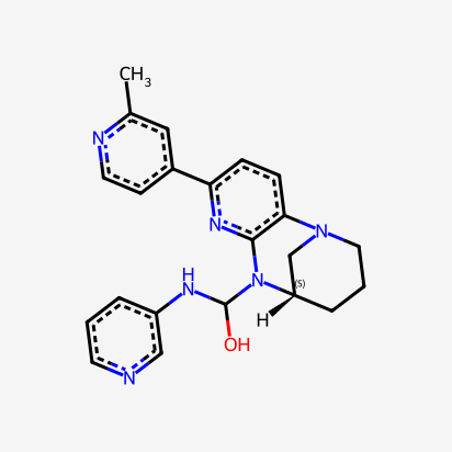 Cc1cc(-c2ccc3c(n2)N(C(O)Nc2cccnc2)[C@H]2CCCN3C2)ccn1